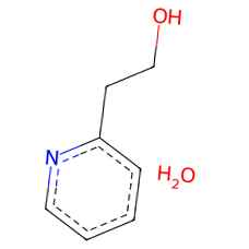 O.OCCc1ccccn1